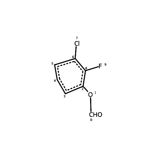 O=COc1cccc(Cl)c1F